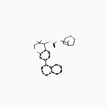 CC1(C)COc2cc(-c3cccc4ccccc34)ccc2C1NC(=O)O[C@H]1CN2CCC1CC2